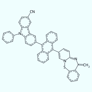 C=C1N=C2C=CC(c3c4ccccc4c(-c4ccc5c(c4)c4cc(C#N)ccc4n5-c4ccccc4)c4ccccc34)=CN2Sc2ccccc21